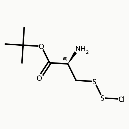 CC(C)(C)OC(=O)[C@@H](N)CSSCl